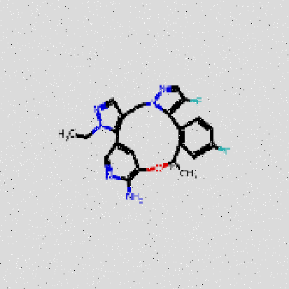 CCn1ncc2c1-c1cnc(N)c(c1)O[C@H](C)c1cc(F)ccc1-c1c(F)cnn1C2